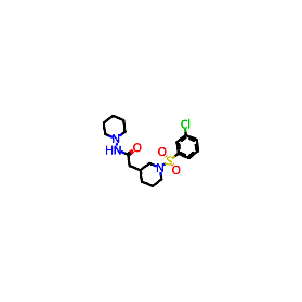 O=C(CC1CCCN(S(=O)(=O)c2cccc(Cl)c2)C1)NN1CCCCC1